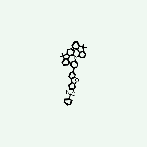 CC1(C)c2ccccc2-c2c(N(c3ccc(-c4ccc5c(c4)oc4cc6oc(-c7ccccc7)nc6cc45)cc3)c3cccc4c3-c3ccccc3C4(C)C)cccc21